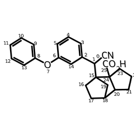 N#CC(c1cccc(Oc2ccccc2)c1)C12CCC(C1)C1CCCC12C(=O)O